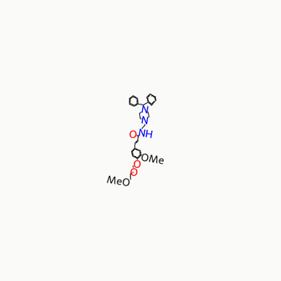 COCCOCOc1ccc(C=CC(=O)NCCN2CCN(C(c3ccccc3)c3ccccc3)CC2)cc1OC